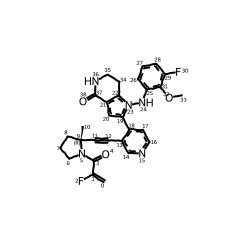 C=C(F)C(=O)N1CCC[C@]1(C)C#Cc1cnccc1-c1cc2c(n1Nc1cccc(F)c1OC)CCNC2=O